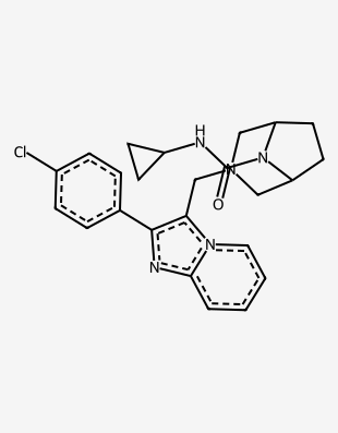 O=C(NC1CC1)N1C2CCC1CN(Cc1c(-c3ccc(Cl)cc3)nc3ccccn13)C2